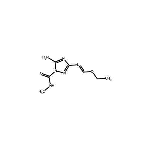 CCOC=Nc1nc(N)n(C(=S)NC)n1